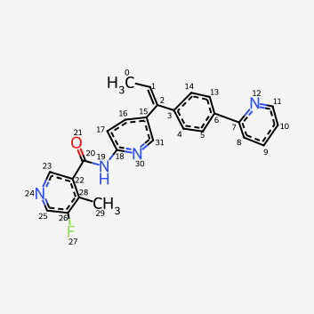 CC=C(c1ccc(-c2ccccn2)cc1)c1ccc(NC(=O)c2cncc(F)c2C)nc1